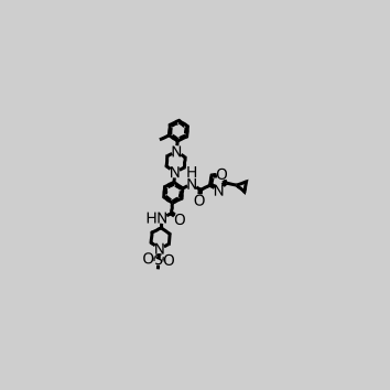 Cc1ccccc1N1CCN(c2ccc(C(=O)NC3CCN(S(C)(=O)=O)CC3)cc2NC(=O)c2coc(C3CC3)n2)CC1